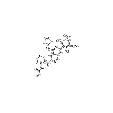 C=CC(=O)N[C@H]1CCOC[C@H]1Nc1ncc2cc(-c3c(Cl)c(OC)cc(OC)c3Cl)nc(NC3CCOC3)c2n1